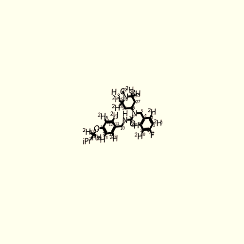 [2H]c1c([2H])c(CN(C(=O)NCc2c([2H])c([2H])c(OC([2H])([2H])C(C)C)c([2H])c2[2H])C2CC([2H])([2H])N(C)C([2H])([2H])C2)c([2H])c([2H])c1F